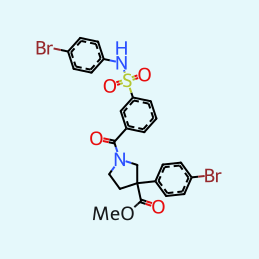 COC(=O)C1(c2ccc(Br)cc2)CCN(C(=O)c2cccc(S(=O)(=O)Nc3ccc(Br)cc3)c2)C1